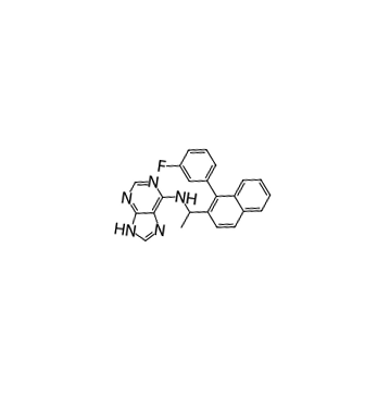 CC(Nc1ncnc2[nH]cnc12)c1ccc2ccccc2c1-c1cccc(F)c1